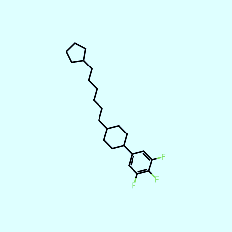 Fc1cc(C2CCC(CCCCCCC3CCCC3)CC2)cc(F)c1F